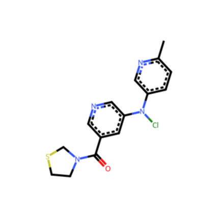 Cc1ccc(N(Cl)c2cncc(C(=O)N3CCSC3)c2)cn1